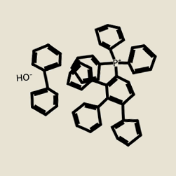 [OH-].c1ccc(-c2ccc([P+](c3ccccc3)(c3ccccc3)c3ccccc3)c(-c3ccccc3)c2-c2ccccc2)cc1.c1ccc(-c2ccccc2)cc1